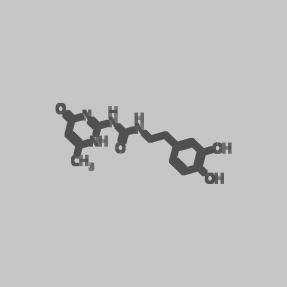 Cc1cc(=O)nc(NC(=O)NCCc2ccc(O)c(O)c2)[nH]1